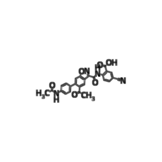 CC(=O)Nc1ccc(-c2cc3onc(C(=O)Nc4ccc(C#N)cc4C(=O)O)c3cc2C(C)=O)cc1